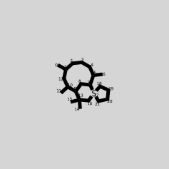 CC1CCCC(C)C2CC(C(C)C1)C(C)(C)CS21CCCC1